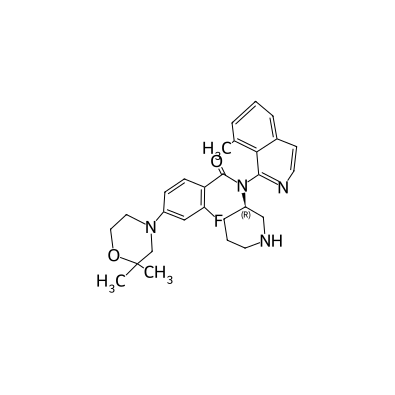 Cc1cccc2ccnc(N(C(=O)c3ccc(N4CCOC(C)(C)C4)cc3F)[C@@H]3CCCNC3)c12